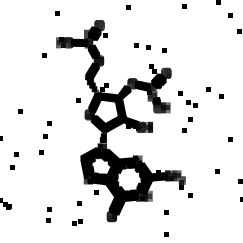 Nc1nc2c(ncn2[C@@H]2O[C@H](CO[PH](=O)O)[C@@H](O[PH](=O)O)[C@H]2O)c(=O)[nH]1